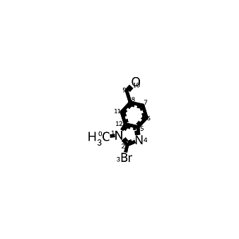 Cn1c(Br)nc2ccc(C=O)cc21